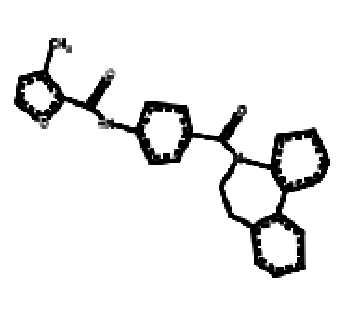 Cc1ccoc1C(=O)Nc1ccc(C(=O)N2CCc3ccccc3-c3ccccc32)cc1